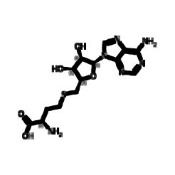 Nc1ncnc2c1ncn2[C@H]1O[C@@H](CSCC[C@@H](N)C(=O)O)[C@@H](O)[C@H]1O